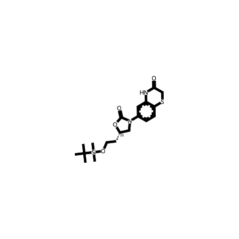 CC(C)(C)[Si](C)(C)OCC[C@H]1CN(c2ccc3c(c2)NC(=O)CS3)C(=O)O1